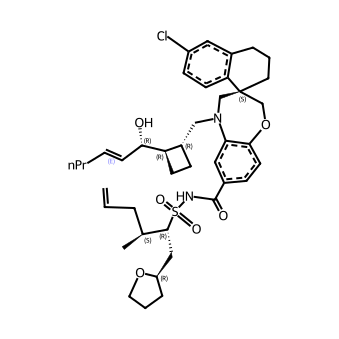 C=CC[C@H](C)[C@@H](C[C@H]1CCCO1)S(=O)(=O)NC(=O)c1ccc2c(c1)N(C[C@@H]1CC[C@H]1[C@@H](O)/C=C/CCC)C[C@@]1(CCCc3cc(Cl)ccc31)CO2